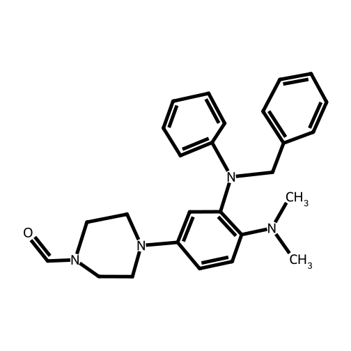 CN(C)c1ccc(N2CCN(C=O)CC2)cc1N(Cc1ccccc1)c1ccccc1